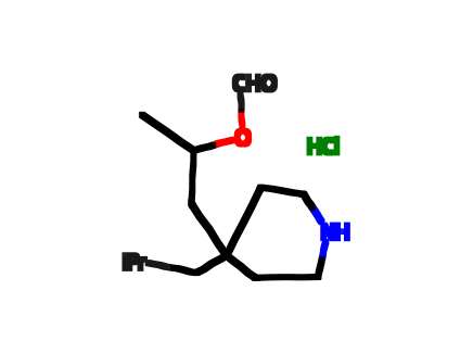 CC(C)CC1(CC(C)OC=O)CCNCC1.Cl